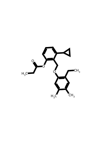 CCC(=O)Oc1cccc(C2CC2)c1COc1cc(C)c(C)cc1CC